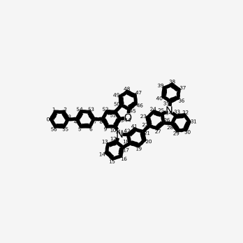 c1ccc(-c2ccc(-c3cc(-n4c5ccccc5c5ccc(-c6ccc7c(c6)c6ccccc6n7-c6ccccc6)cc54)c4oc5ccccc5c4c3)cc2)cc1